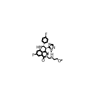 COCCNCn1nc2c3c(cc(F)cc3c1=O)N[C@H](c1ccc(F)cc1)[C@H]2c1ncnn1C